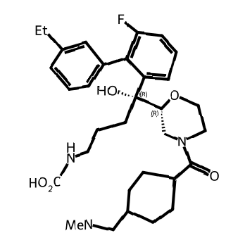 CCc1cccc(-c2c(F)cccc2[C@](O)(CCCNC(=O)O)[C@H]2CN(C(=O)C3CCC(CNC)CC3)CCO2)c1